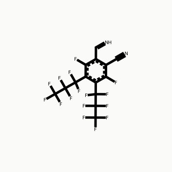 N#Cc1c(F)c(C(F)(F)C(F)(F)C(F)(F)F)c(C(F)(F)C(F)(F)C(F)(F)F)c(F)c1C=N